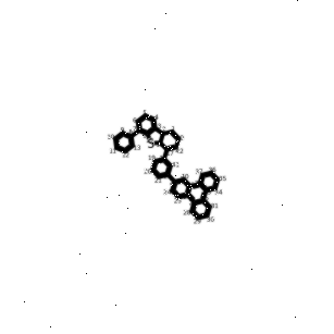 C1=CC2c3cccc(-c4ccccc4)c3SC2C(c2cccc(-c3ccc4c5ccccc5c5ccccc5c4c3)c2)=C1